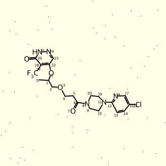 CC(COCCC(=O)N1CCN(c2ccc(Cl)cn2)CC1)Oc1cn[nH]c(=O)c1C(F)(F)F